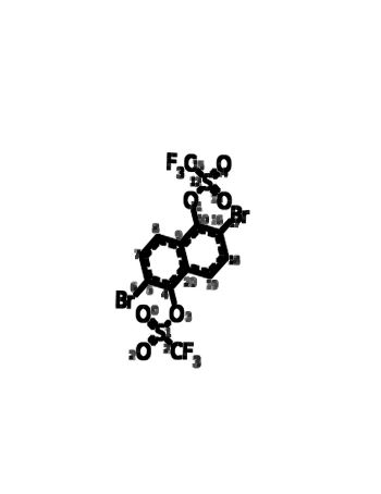 O=S(=O)(Oc1c(Br)ccc2c(OS(=O)(=O)C(F)(F)F)c(Br)ccc12)C(F)(F)F